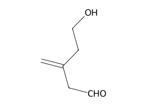 C=C(CC=O)CCO